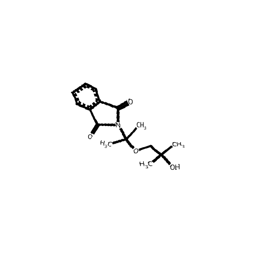 CC(C)(O)COC(C)(C)N1C(=O)c2ccccc2C1=O